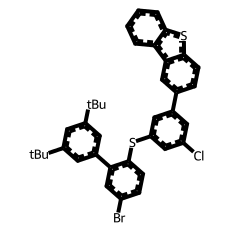 CC(C)(C)c1cc(-c2cc(Br)ccc2Sc2cc(Cl)cc(-c3ccc4sc5ccccc5c4c3)c2)cc(C(C)(C)C)c1